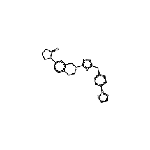 O=C1CCCN1c1ccc2c(c1)CN(c1ncc(Cc3ccc(-n4cccn4)cc3)s1)CC2